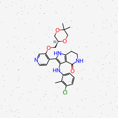 Cc1c(Cl)cccc1Nc1c(-c2ccncc2OC[C@H]2COC(C)(C)CO2)[nH]c2c1C(=O)NCC2